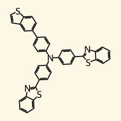 c1ccc2sc(-c3ccc(N(c4ccc(-c5ccc6sccc6c5)cc4)c4ccc(-c5nc6ccccc6s5)cc4)cc3)nc2c1